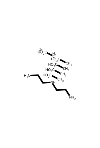 CC(=O)O.CC(=O)O.CC(=O)O.CC(=O)O.CC(=O)O.NCCNCCN.[Zn]